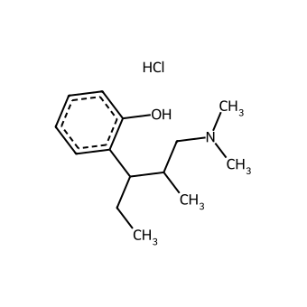 CCC(c1ccccc1O)C(C)CN(C)C.Cl